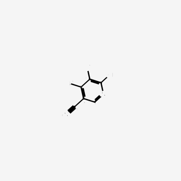 Cc1ncc(C#N)c(Cl)c1I